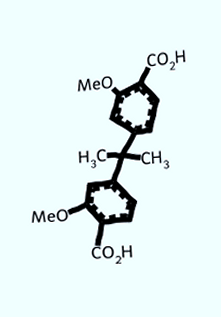 COc1cc(C(C)(C)c2ccc(C(=O)O)c(OC)c2)ccc1C(=O)O